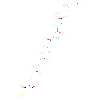 CO[C@H]1C[C@H](NC(=O)CNC(=O)CNC(=O)CNC(=O)NC(=O)CCNC(=O)CCCN2C(=O)CC(S)C2=O)[C@H](O)[C@H](C)O1